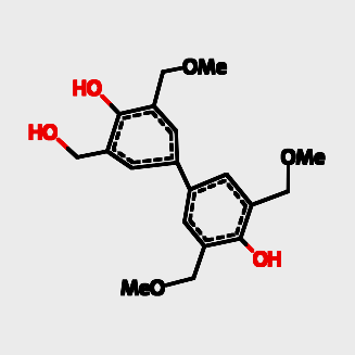 COCc1cc(-c2cc(COC)c(O)c(COC)c2)cc(CO)c1O